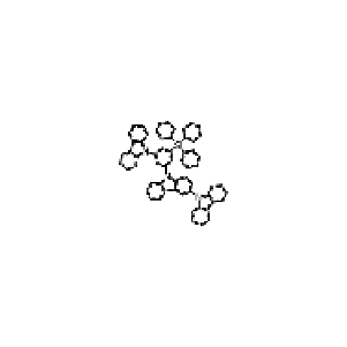 c1ccc([Si](c2ccccc2)(c2ccccc2)c2cc(-n3c4ccccc4c4ccccc43)cc(-n3c4ccccc4c4cc(-n5c6ccccc6c6ccccc65)ccc43)c2)cc1